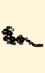 CC[C@@]12CC(OCCOCCOC)C[C@]1(CC)OB(c1cc(-c3ccc4c(N)cnnc4c3)c(-n3cccn3)cc1OC)O2